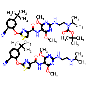 COc1nc(NCCN(C(=O)OC(C)(C)C)C(C)C)nc(OC)c1NC(=O)c1csc(Oc2cc(C(C)(C)C)ccc2C#N)n1.COc1nc(NCCNC(C)C)nc(OC)c1NC(=O)c1csc(Oc2cc(C(C)(C)C)ccc2C#N)n1